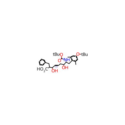 Cc1cc(OC(C)(C)C)cc(C)c1CC(NC(=O)OC(C)(C)C)C(O)C/C=C/C(O)C(Cc1ccccc1)C(=O)O